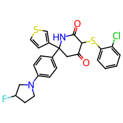 O=C1CC(c2ccc(N3CCC(F)C3)cc2)(c2ccsc2)NC(=O)C1Sc1ccccc1Cl